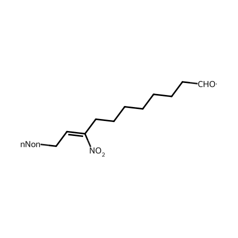 CCCCCCCCCC/C=C(/CCCCCCC[C]=O)[N+](=O)[O-]